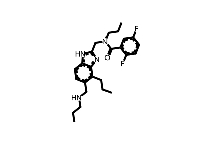 CCCNCc1ccc2[nH]c(CN(CCC)C(=O)c3cc(F)ccc3F)nc2c1CCC